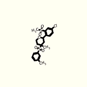 Cc1cccc(S(=O)(=O)C2(C)CCOC(c3ccc(Cl)cc3S(C)(=O)=O)C2)c1